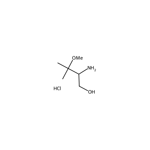 COC(C)(C)C(N)CO.Cl